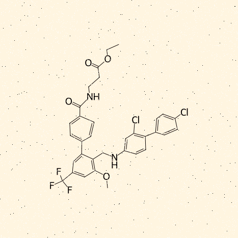 CCOC(=O)CCNC(=O)c1ccc(-c2cc(C(F)(F)F)cc(OC)c2CNc2ccc(-c3ccc(Cl)cc3)c(Cl)c2)cc1